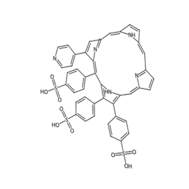 O=S(=O)(O)c1ccc(-c2c(-c3ccc(S(=O)(=O)O)cc3)c3[nH]c2cc2nc(cc4ccc(cc5nc(c3-c3ccc(S(=O)(=O)O)cc3)C(c3ccncc3)=C5)[nH]4)C=C2)cc1